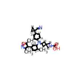 Cc1ccc(-c2c(C)noc2C)cc1N(c1ccc(C2(C#N)CC2)cc1)C1CC2(C1)CN(C(=O)O)C2